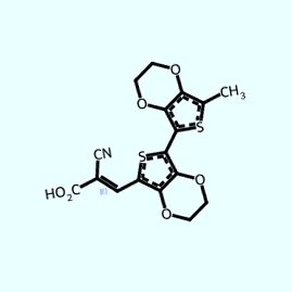 Cc1sc(-c2sc(/C=C(\C#N)C(=O)O)c3c2OCCO3)c2c1OCCO2